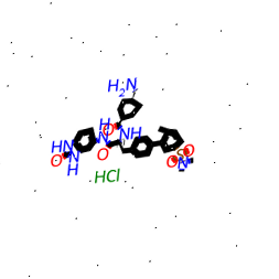 Cc1ccc(S(=O)(=O)N(C)C)cc1-c1ccc(C[C@H](NC(=O)[C@H]2CC[C@H](CN)CC2)C(=O)Nc2ccc3[nH]c(=O)[nH]c3c2)cc1.Cl